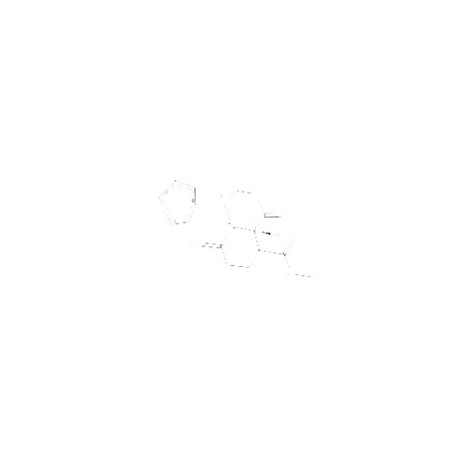 COC(=O)C1CCC(=O)N2[C@@H]1C(=O)OC[C@H]2c1ccccc1